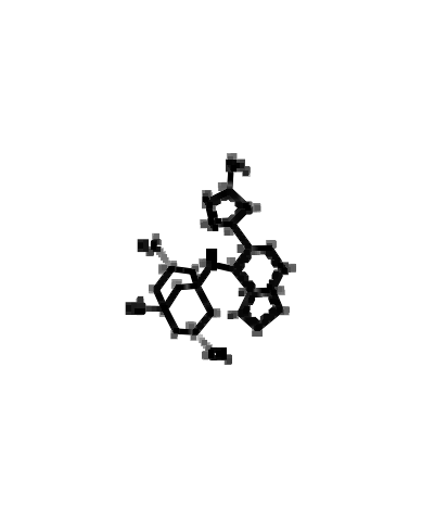 C[C@@H]1CC2(O)C[C@H](C)CC(Nc3c(-c4nnc(N)s4)cnn4cccc34)(C1)C2